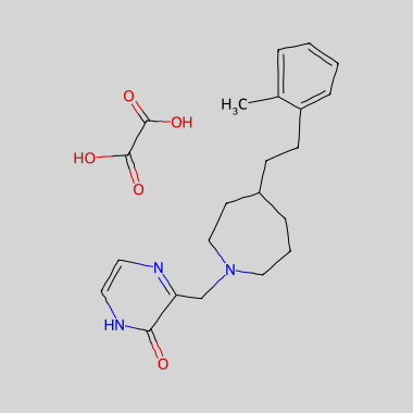 Cc1ccccc1CCC1CCCN(Cc2ncc[nH]c2=O)CC1.O=C(O)C(=O)O